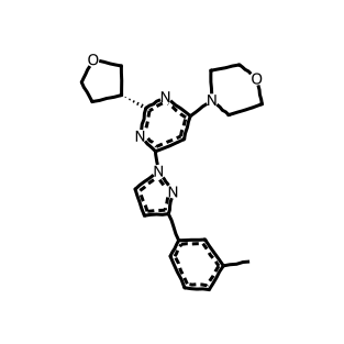 Cc1cccc(-c2ccn(-c3cc(N4CCOCC4)nc([C@@H]4CCOC4)n3)n2)c1